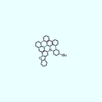 CC(C)(C)c1ccc(N(c2ccc3oc4ccccc4c3c2)c2ccccc2-c2cccc3cccc(-c4ccccc4)c23)c(-c2ccccc2)c1